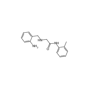 Cc1ccccc1NC(=O)CNCc1ccccc1N